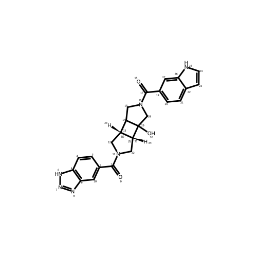 O=C(c1ccc2[nH]nnc2c1)N1C[C@@H]2C3CN(C(=O)c4ccc5cc[nH]c5c4)CC3(O)[C@@H]2C1